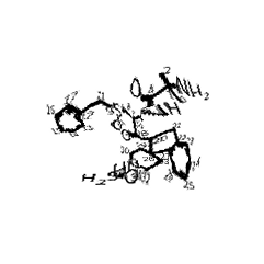 CC(C)(N)C(=O)N[C@H](C[S+]([O-])Cc1ccccc1)C(=O)C1Cc2ccccc2C12CCNCC2.O=[SH2]